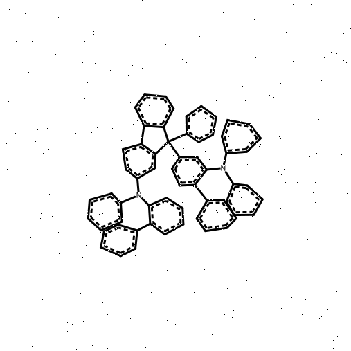 c1ccc(-c2ccccc2N(c2ccccc2)c2ccc3c(c2)C(c2ccccc2)(c2ccc(-c4ccccc4)c(N(c4ccccc4)c4ccccc4)c2)c2ccccc2-3)cc1